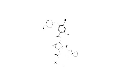 COc1cc(C#N)c(O[C@H]2CC[C@@](C)(C=O)CC2)cc1C(=O)N[C@@H]1[C@@H]2CC2C(NC(=O)OC(C)(C)C)[C@@H]1C(=O)NCC1(C)CCC1